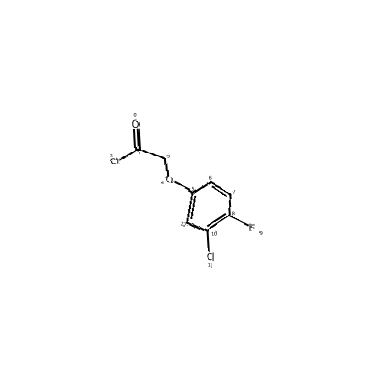 O=C(Cl)COc1ccc(F)c(Cl)c1